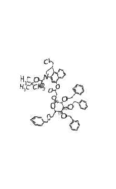 CC(C)(C)OC(=O)N1CC(CCl)c2c1cc(OC(=O)CO[C@@H]1OC(COCc3ccccc3)[C@H](OCc3ccccc3)[C@H](OCc3ccccc3)C1OCc1ccccc1)c1ccccc21